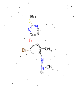 CCN(C)C=Nc1cc(Br)c(Oc2ccnc(SC(C)(C)C)n2)cc1C